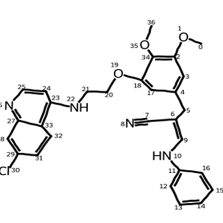 COc1cc(C/C(C#N)=C/Nc2ccccc2)cc(OCCNc2ccnc3cc(Cl)ccc23)c1OC